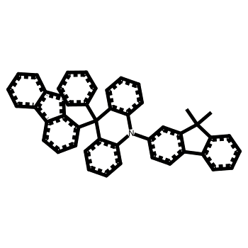 CC1(C)c2ccccc2-c2ccc(N3c4ccccc4C(c4ccccc4)(c4cccc5c4sc4ccccc45)c4ccccc43)cc21